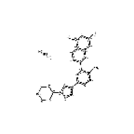 Cl.Cl.Cl.Nc1ncc(-c2cnn(C3CCNCC3)c2)cc1-c1cc2cc(Cl)cc(Cl)c2cn1